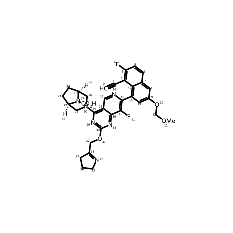 C#Cc1c(F)ccc2cc(OCOC)cc(-c3ncc4c(N5C[C@H]6CC[C@@H](C5)N6C(=O)O)nc(OCC5=NCCC5)nc4c3F)c12